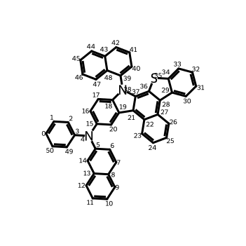 c1ccc(N(c2ccc3ccccc3c2)c2ccc3c(c2)c2c4ccccc4c4c5ccccc5sc4c2n3-c2cccc3ccccc23)cc1